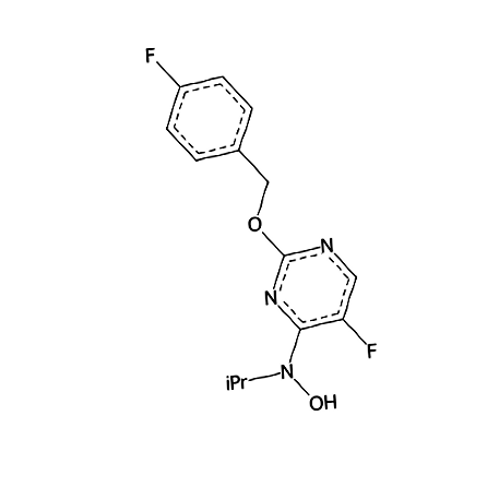 CC(C)N(O)c1nc(OCc2ccc(F)cc2)ncc1F